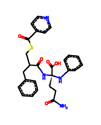 NC(=O)CC[C@@](NC(=O)C(CSC(=O)c1ccncc1)Cc1ccccc1)(Nc1ccccc1)C(=O)O